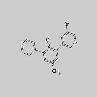 Cn1cc(-c2ccccc2)c(=O)c(-c2cccc(Br)c2)c1